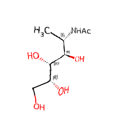 CC(=O)N[C@@H](C)[C@@H](O)[C@@H](O)[C@H](O)CO